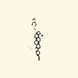 C=C(C)[C@@H]1CC[C@]2(NCCN3CCC(S(C)(=O)=O)CC3)CC[C@]3(C)[C@H](CC[C@@H]4[C@@]5(C)CC=C(C6=CCC(Cl)(C(=O)OC)CC6)C(C)(C)C5CC[C@]43C)C12